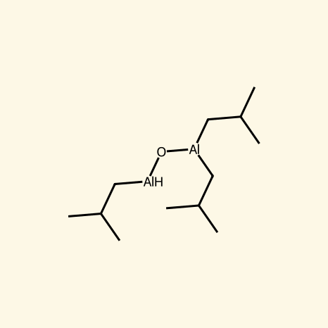 CC(C)[CH2][AlH][O][Al]([CH2]C(C)C)[CH2]C(C)C